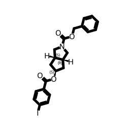 O=C(O[C@H]1C[C@@H]2CN(C(=O)OCc3ccccc3)C[C@@H]2C1)c1ccc(I)cc1